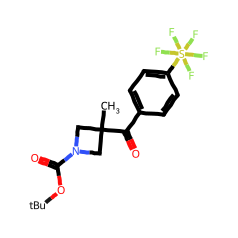 CC(C)(C)OC(=O)N1CC(C)(C(=O)c2ccc(S(F)(F)(F)(F)F)cc2)C1